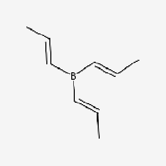 CC=CB(C=CC)C=CC